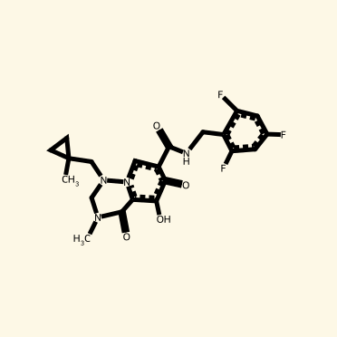 CN1CN(CC2(C)CC2)n2cc(C(=O)NCc3c(F)cc(F)cc3F)c(=O)c(O)c2C1=O